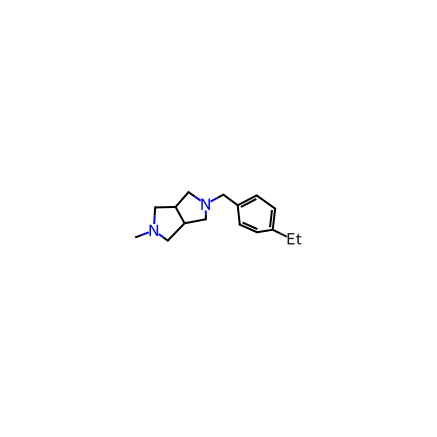 CCc1ccc(CN2CC3CN(C)CC3C2)cc1